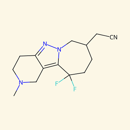 CN1CCc2nn3c(c2C1)C(F)(F)CCC(CC#N)C3